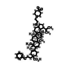 C=C(C)[C@@H]1CC[C@]2(NCCN3CCS(=O)(=O)CC3)CC[C@]3(C)[C@H](CCC4[C@@]5(C)CC=C(C6=CCC(CCOc7ncccn7)(C(=O)O)CC6)C(C)(C)C5CC[C@]43C)C12